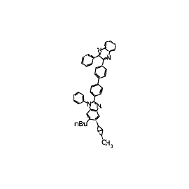 CCCCc1cc2c(cc1C1C3C(C)C13)nc(-c1ccc(-c3ccc(-c4nc5ccccc5nc4-c4ccccc4)cc3)cc1)n2-c1ccccc1